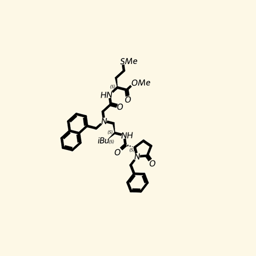 CC[C@H](C)[C@@H](CN(CC(=O)N[C@@H](CCSC)C(=O)OC)Cc1cccc2ccccc12)NC(=O)[C@@H]1CCC(=O)N1Cc1ccccc1